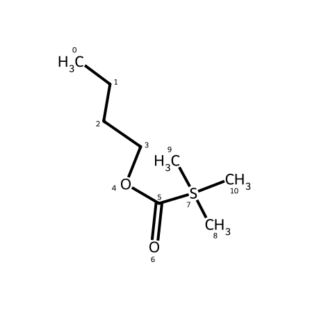 CCCCOC(=O)S(C)(C)C